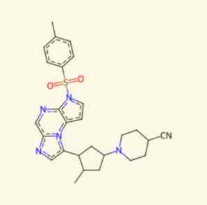 Cc1ccc(S(=O)(=O)n2ccc3c2ncc2ncc(C4CC(N5CCC(C#N)CC5)CC4C)n23)cc1